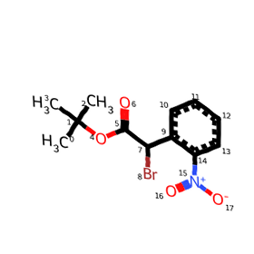 CC(C)(C)OC(=O)C(Br)c1ccccc1[N+](=O)[O-]